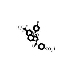 O=C(O)[C@H]1CC[C@H](C(=O)N2CCC3(S(=O)(=O)c4ccc(F)cc4)c4ccc(C(F)(F)C(F)(F)F)cc4CCC23)CC1